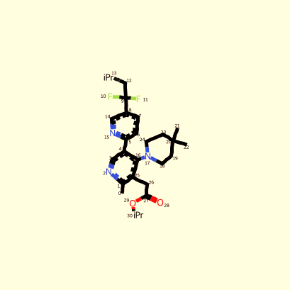 Cc1ncc(-c2ccc(C(F)(F)CC(C)C)cn2)c(N2CCC(C)(C)CC2)c1CC(=O)OC(C)C